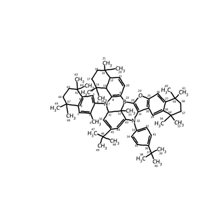 Cc1cc2c(cc1N1C3=C(C=CC4C3C(C)(C)CCC4(C)C)B3c4oc5cc6c(cc5c4N(c4ccc(C(C)(C)C)cc4)C4=CC(C(C)(C)C)=CC1C34C)C(C)(C)CCC6(C)C)C(C)(C)CCC2(C)C